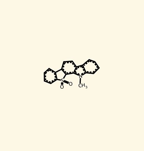 Cn1c2ccccc2c2ccc3c(c21)S(=O)(=O)c1ccccc1-3